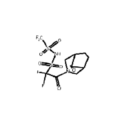 O=C1C2CCC1CN(C(=O)C(F)(F)S(=O)(=O)NS(=O)(=O)C(F)(F)F)C2